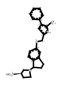 O=C(O)[C@@H]1CCN(C2CCc3cc(OCc4cc(-c5ccccc5)c(C(F)(F)F)s4)ccc32)C1